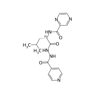 CC(C)C[C@H](NC(=O)c1cnccn1)C(=O)NNC(=O)c1ccncc1